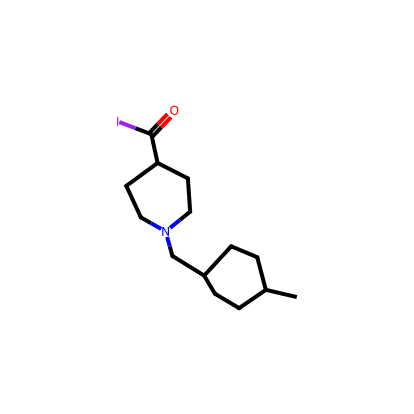 CC1CCC(CN2CCC(C(=O)I)CC2)CC1